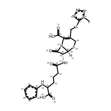 Cn1nnnc1SCC1=C(C(=O)O)N2C(=O)[C@@H](NC(=O)CCCC(Nc3ccccc3)C(=O)O)[C@@H]2SC1